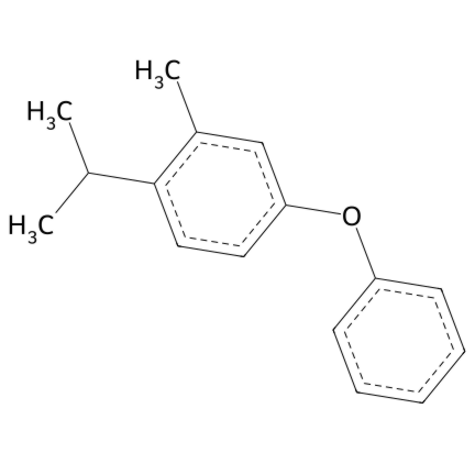 Cc1cc(Oc2ccccc2)ccc1C(C)C